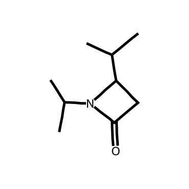 CC(C)C1CC(=O)N1C(C)C